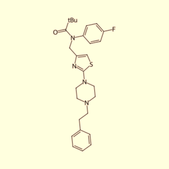 CC(C)(C)C(=O)N(Cc1csc(N2CCN(CCc3ccccc3)CC2)n1)c1ccc(F)cc1